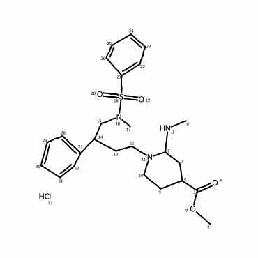 CNC1CC(C(=O)OC)CCN1CCC(CN(C)S(=O)(=O)c1ccccc1)c1ccccc1.Cl